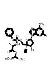 C#C[C@]1(COP(=O)(N[C@@H](C)C(=O)OC(CCCCCCCC)CCCCCCCC)Oc2ccccc2)O[C@@H](n2cnc3c(N)nc(F)nc32)C[C@@H]1O